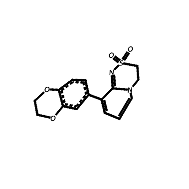 O=S1(=O)CCN2C=CC=C(c3ccc4c(c3)OCCO4)C2=N1